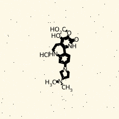 CN(C)C1CCN(c2ccc3c(c2)NCCc2c-3[nH]c(=O)c(OC(=O)O)c2O)C1.Cl